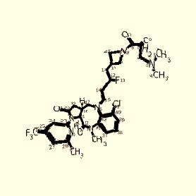 C=C(CN(C)C)C(=O)N1CC(CC(F)CCN2C[C@H]3CC(=O)N(c4cc(C(F)(F)F)cc(C)n4)[C@@H]3C(=O)N(C)c3cccc(Cl)c32)C1